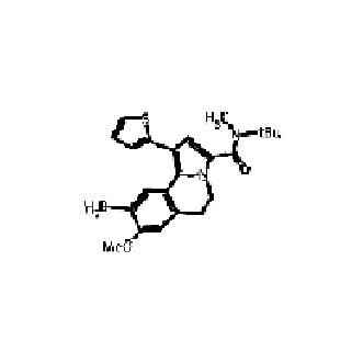 Bc1cc2c(cc1OC)CCn1c(C(=O)N(C)C(C)(C)C)cc(-c3cccs3)c1-2